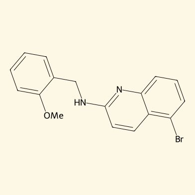 COc1ccccc1CNc1ccc2c(Br)cccc2n1